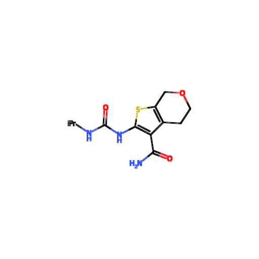 CC(C)NC(=O)Nc1sc2c(c1C(N)=O)CCOC2